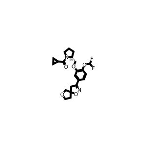 O=C(C1CC1)N1CCC[C@@H]1COc1cc(C2=NOC3(CCOC3)C2)ccc1OC(F)F